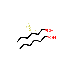 CCCCCCO.CCCCCCO.S.S